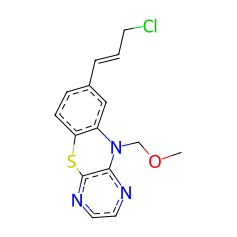 COCN1c2cc(C=CCCl)ccc2Sc2nccnc21